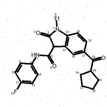 CCN1C(=O)C(C(=O)Nc2ccc(F)cc2)c2cc(C(=O)C3CCCC3)ccc21